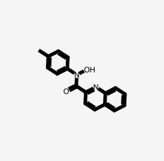 Cc1ccc(N(O)C(=O)c2ccc3ccccc3n2)cc1